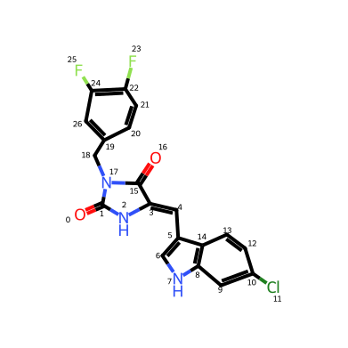 O=C1N/C(=C\c2c[nH]c3cc(Cl)ccc23)C(=O)N1Cc1ccc(F)c(F)c1